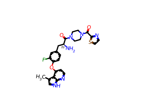 Cc1c[nH]c2nccc(Oc3ccc(C[C@H](N)C(=O)N4CCN(C(=O)c5nccs5)CC4)cc3F)c12